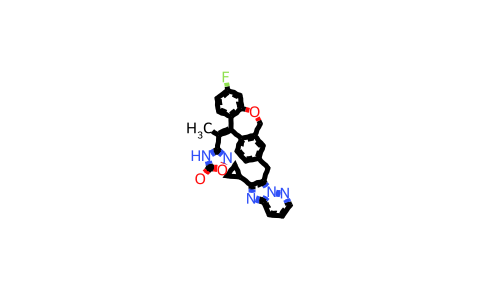 C/C(=C1/c2ccc(Cc3c(C4CC4)nc4cccnn34)cc2COc2cc(F)ccc21)c1noc(=O)[nH]1